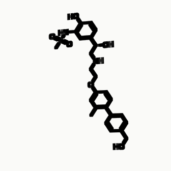 Cc1cc(OCCNC[C@H](O)c2ccc(O)c(NS(C)(=O)=O)c2)ccc1-c1ccc(CO)cc1